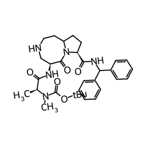 C[C@@H](C(=O)N[C@H]1CNCCC2CC[C@@H](C(=O)NC(c3ccccc3)c3ccccc3)N2C1=O)N(C)C(=O)OC(C)(C)C